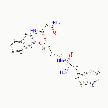 NC(=O)CC(=O)Nc1cc2ccccc2cc1OCCCCNC(=O)[C@@H](N)Cc1csc2ccccc12